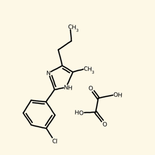 CCCc1nc(-c2cccc(Cl)c2)[nH]c1C.O=C(O)C(=O)O